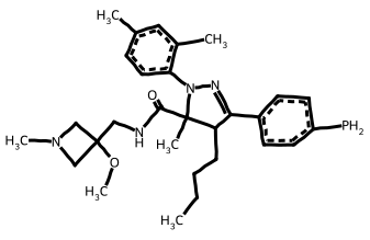 CCCCC1C(c2ccc(P)cc2)=NN(c2ccc(C)cc2C)C1(C)C(=O)NCC1(OC)CN(C)C1